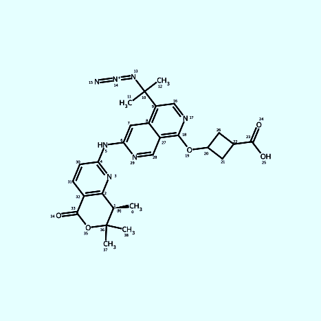 C[C@@H]1c2nc(Nc3cc4c(C(C)(C)N=[N+]=[N-])cnc(OC5CC(C(=O)O)C5)c4cn3)ccc2C(=O)OC1(C)C